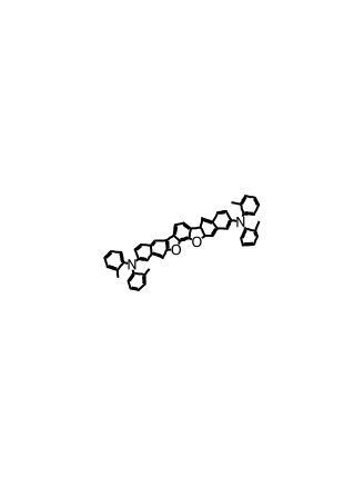 Cc1ccccc1N(c1ccc2c(c1)=CC1Oc3c(ccc4c3oc3cc5cc(N(c6ccccc6C)c6ccccc6C)ccc5cc34)C1C=2)c1ccccc1C